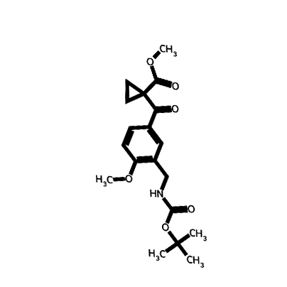 COC(=O)C1(C(=O)c2ccc(OC)c(CNC(=O)OC(C)(C)C)c2)CC1